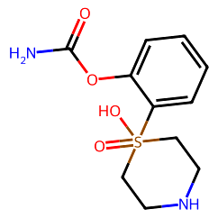 NC(=O)Oc1ccccc1S1(=O)(O)CCNCC1